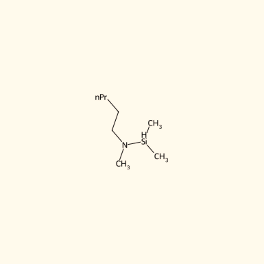 CCCCCN(C)[SiH](C)C